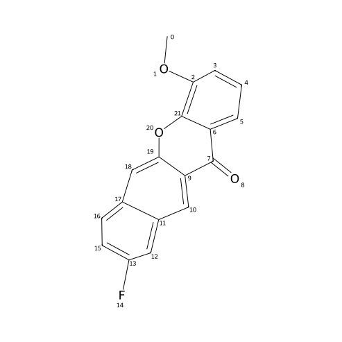 COc1cccc2c(=O)c3cc4cc(F)ccc4cc3oc12